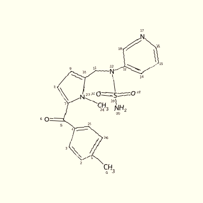 Cc1ccc(C(=O)c2ccc(CN(c3cccnc3)S(N)(=O)=O)n2C)cc1